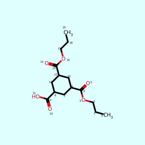 CCCOC(=O)C1CC(C(=O)O)CC(C(=O)OCCC)C1